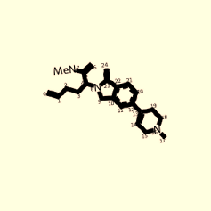 C=CCCC(C(=C)NC)N1Cc2cc(C3=CCN(C)CC3)ccc2C1=C